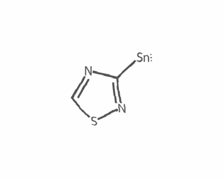 [Sn][c]1ncsn1